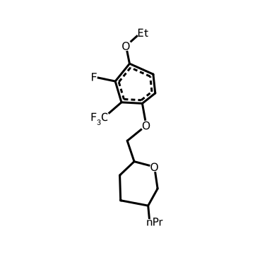 CCCC1CCC(COc2ccc(OCC)c(F)c2C(F)(F)F)OC1